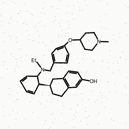 CCN(Cc1ccc(OC2CCN(C)CC2)cc1)C1C=CC=CC1[C@@H]1CCc2cc(O)ccc2C1